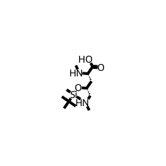 CNC[C@@H](C[C@H](NC)C(=O)O)O[Si](C)(C)C(C)(C)C